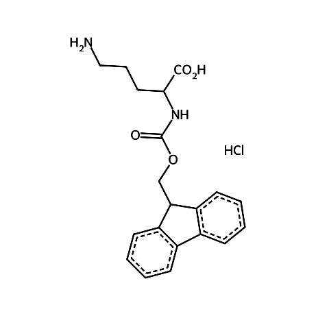 Cl.NCCCC(NC(=O)OCC1c2ccccc2-c2ccccc21)C(=O)O